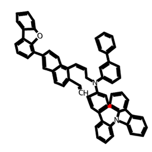 C=Cc1ccc2cc(-c3cccc4c3oc3ccccc34)ccc2c1/C=C\CN(c1ccc(-c2ccccc2-n2c3ccccc3c3ccccc32)cc1)c1cccc(-c2ccccc2)c1